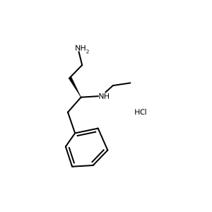 CCN[C@H](CCN)Cc1ccccc1.Cl